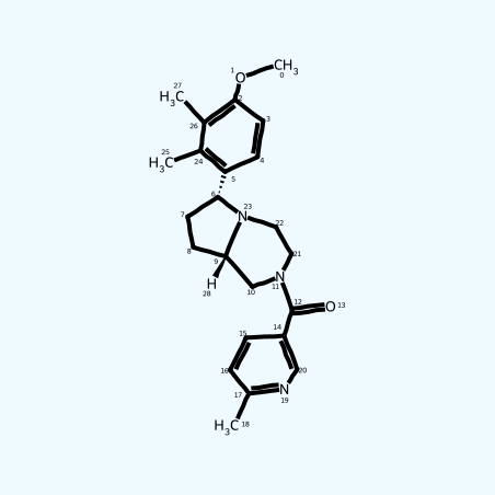 COc1ccc([C@H]2CC[C@H]3CN(C(=O)c4ccc(C)nc4)CCN32)c(C)c1C